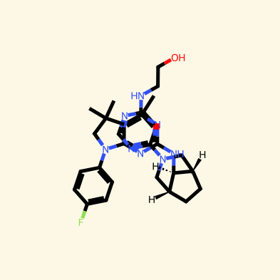 Cc1cc(N2C[C@H]3CC[C@@H](C2)[C@@H]3Nc2nc(NCCO)c3c(n2)N(c2ccc(F)cc2)CC3(C)C)ncn1